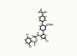 COc1cc(-c2sc(Cl)cc2NC(=O)OC(C)c2cc(F)ccc2Cl)ccc1-c1ccc(C2(C(C)=O)CC2)cc1